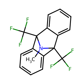 CN1C2(C(F)(F)F)c3ccccc3C1(C(F)(F)F)c1ccccc12